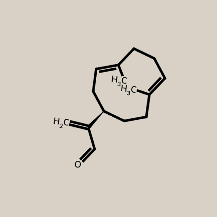 C=C(C=O)[C@H]1C/C=C(\C)CC/C=C(\C)CC1